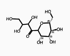 O=C(C(O)C(O)CO)C1O[C@H](CO)[C@@H](O)[C@H](O)[C@@H]1O